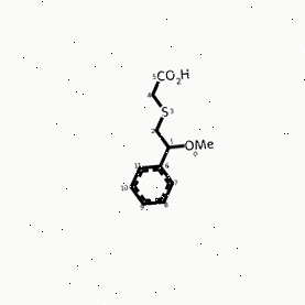 COC(CSCC(=O)O)c1ccccc1